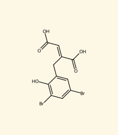 O=C(O)/C=C(\Cc1cc(Br)cc(Br)c1O)C(=O)O